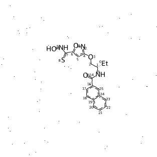 CC[C@@H](COc1cc(C(=S)NO)on1)NC(=O)c1ccc2ccccc2c1